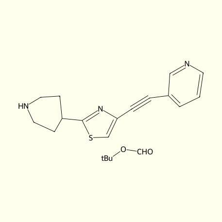 C(#Cc1csc(C2CCNCC2)n1)c1cccnc1.CC(C)(C)OC=O